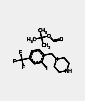 CC(C)(C)OC=O.FC(F)(F)c1ccc(CN2CCNCC2)c(I)c1